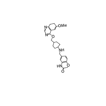 COC1=Cc2c(ncnc2OCC2CCC(NCc3ccc4c(c3)NC(=O)CO4)CC2)CC1